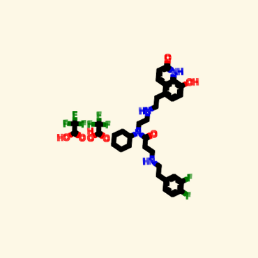 O=C(CCNCCc1ccc(F)c(F)c1)N(CCNCCc1ccc(O)c2[nH]c(=O)ccc12)C1CCCCC1.O=C(O)C(F)(F)F.O=C(O)C(F)(F)F